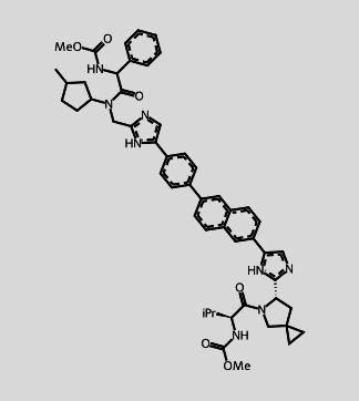 COC(=O)NC(C(=O)N(Cc1ncc(-c2ccc(-c3ccc4cc(-c5cnc([C@@H]6CC7(CC7)CN6C(=O)[C@@H](NC(=O)OC)C(C)C)[nH]5)ccc4c3)cc2)[nH]1)C1CCC(C)C1)c1ccccc1